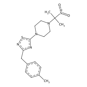 Cc1ccc(Cc2nsc(N3CCN(C(C)(C)[SH](=O)=O)CC3)n2)cc1